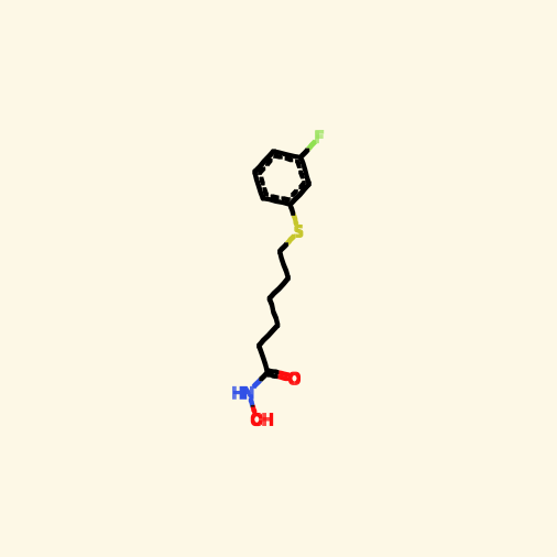 O=C(CCCCCSc1cccc(F)c1)NO